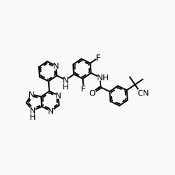 CC(C)(C#N)c1cccc(C(=O)Nc2c(F)ccc(Nc3ncccc3-c3ncnc4[nH]cnc34)c2F)c1